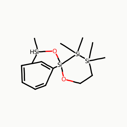 C[SiH](C)O[Si]1(c2ccccc2)OCC[Si](C)(C)[Si]1(C)C